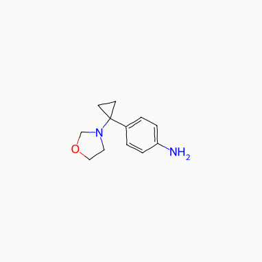 Nc1ccc(C2(N3CCOC3)CC2)cc1